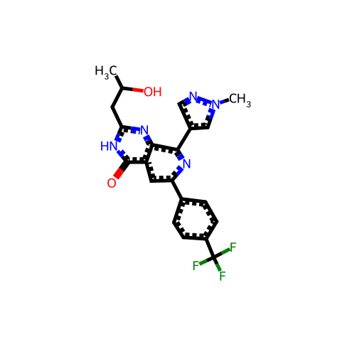 CC(O)Cc1nc2c(-c3cnn(C)c3)nc(-c3ccc(C(F)(F)F)cc3)cc2c(=O)[nH]1